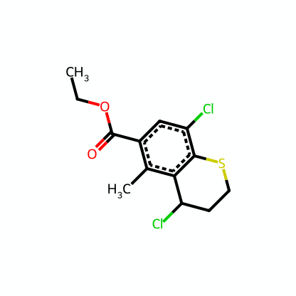 CCOC(=O)c1cc(Cl)c2c(c1C)C(Cl)CCS2